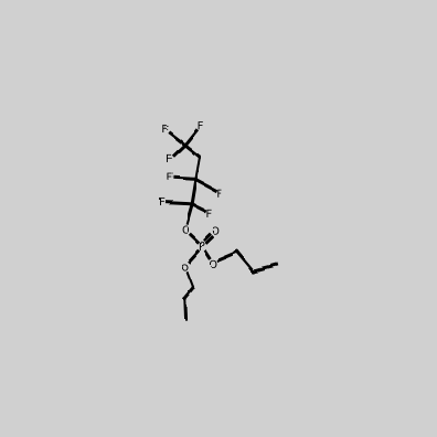 CCCOP(=O)(OCCC)OC(F)(F)C(F)(F)CC(F)(F)F